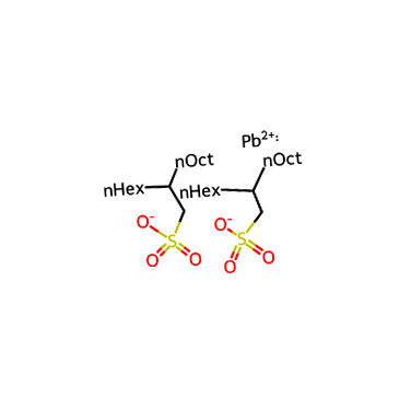 CCCCCCCCC(CCCCCC)CS(=O)(=O)[O-].CCCCCCCCC(CCCCCC)CS(=O)(=O)[O-].[Pb+2]